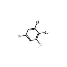 C[CH]c1c(Cl)cc(F)cc1Cl